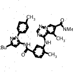 CNC(=O)c1cn2ncnc(Nc3cc(C(=O)Nc4cc(C(C)(C)C)nn4-c4ccc(C)cc4)ccc3C)c2c1C